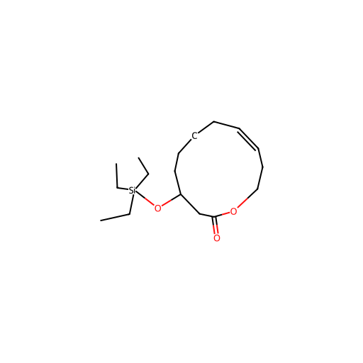 CC[Si](CC)(CC)OC1CCCCC=CCCOC(=O)C1